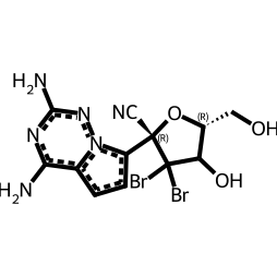 N#C[C@@]1(c2ccc3c(N)nc(N)nn23)O[C@H](CO)C(O)C1(Br)Br